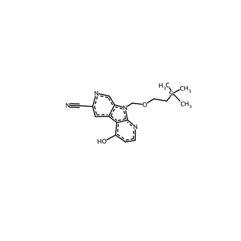 C[Si](C)(C)CCOCn1c2cnc(C#N)cc2c2c(O)ccnc21